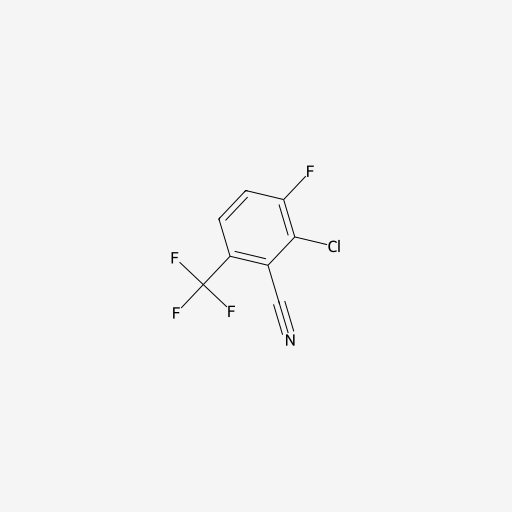 N#Cc1c(C(F)(F)F)ccc(F)c1Cl